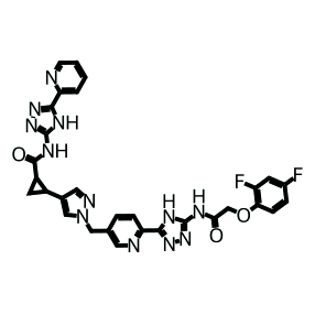 O=C(COc1ccc(F)cc1F)Nc1nnc(-c2ccc(Cn3cc(C4CC4C(=O)Nc4nnc(-c5ccccn5)[nH]4)cn3)cn2)[nH]1